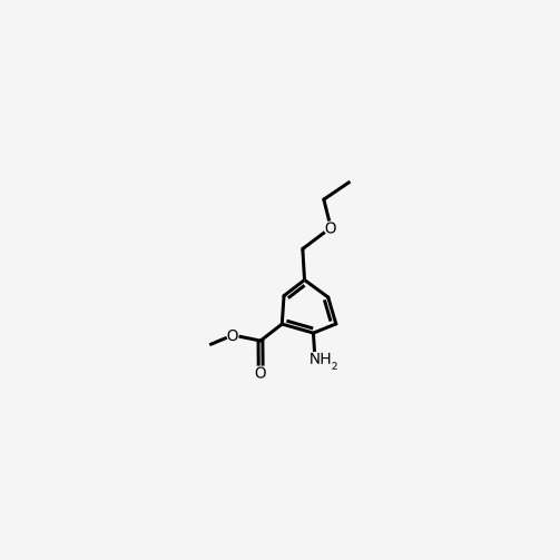 CCOCc1ccc(N)c(C(=O)OC)c1